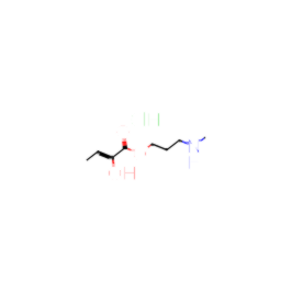 CC=C(O)C(=O)OCCCNC.Cl